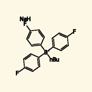 CCCC[B-](c1ccc(F)cc1)(c1ccc(F)cc1)c1ccc(F)cc1.[NaH]